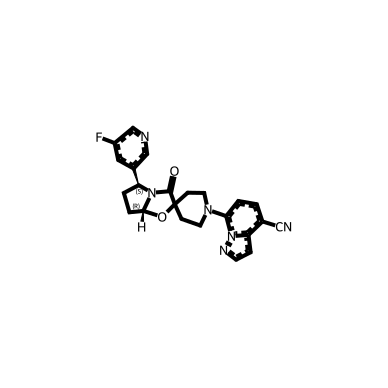 N#Cc1ccc(N2CCC3(CC2)O[C@@H]2CC[C@@H](c4cncc(F)c4)N2C3=O)n2nccc12